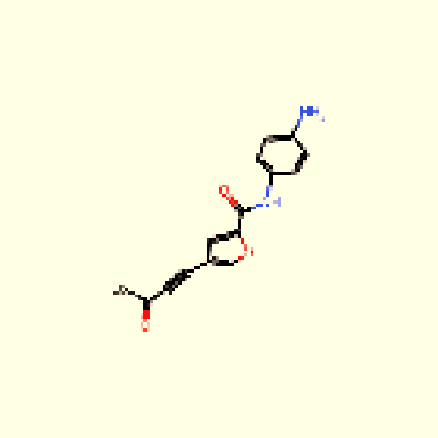 CCC(=O)C#Cc1coc(C(=O)Nc2ccc(N)cc2)c1